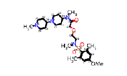 COc1cc(C)c(S(=O)(=O)N(C)CCOCC(=O)N(C)C2CCN(C3CCN(C)CC3)CC2)c(C)c1